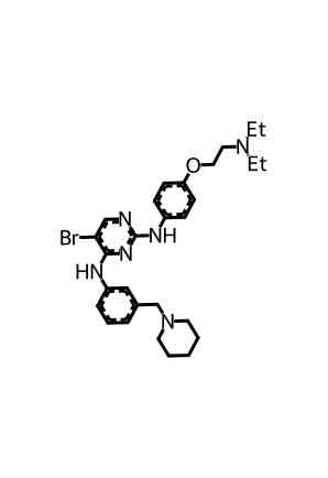 CCN(CC)CCOc1ccc(Nc2ncc(Br)c(Nc3cccc(CN4CCCCC4)c3)n2)cc1